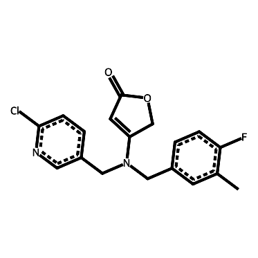 Cc1cc(CN(Cc2ccc(Cl)nc2)C2=CC(=O)OC2)ccc1F